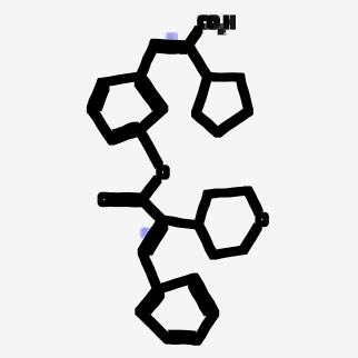 O=C(O)/C(=C/c1cccc(OC(=O)/C(=C/c2ccccc2)C2CCOCC2)c1)C1CCCC1